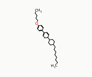 CCCCCCCCC1CCC(C2C=CC(c3ccc(OCCCCC)cc3)=CC2)CC1